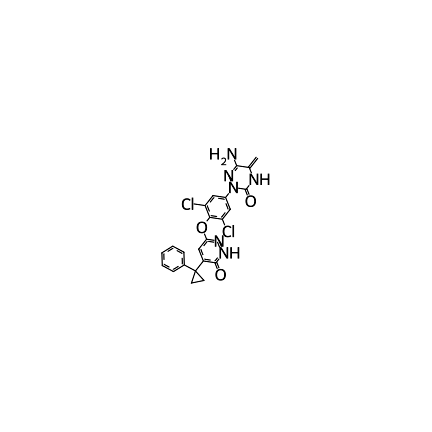 C=C1NC(=O)N(c2cc(Cl)c(Oc3cc(C4(c5ccccc5)CC4)c(=O)[nH]n3)c(Cl)c2)N=C1N